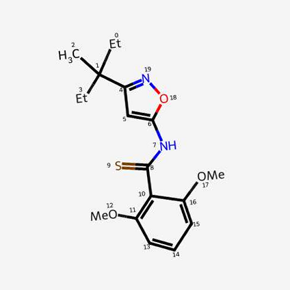 CCC(C)(CC)c1cc(NC(=S)c2c(OC)cccc2OC)on1